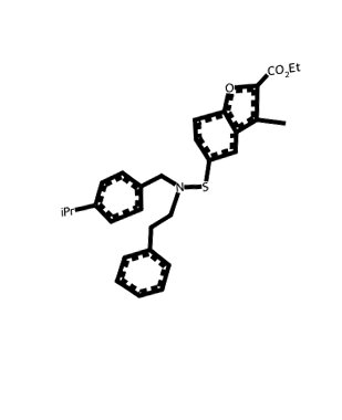 CCOC(=O)c1oc2ccc(SN(CCc3ccccc3)Cc3ccc(C(C)C)cc3)cc2c1C